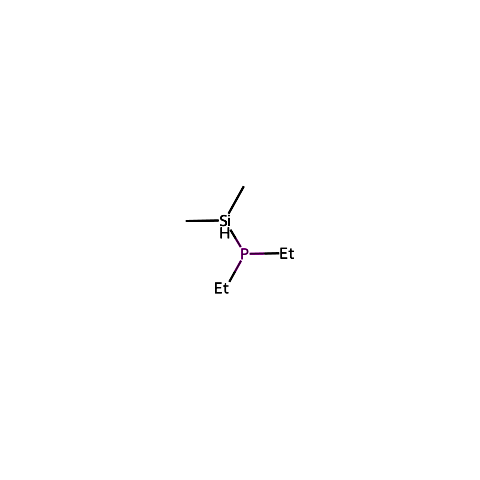 CCP(CC)[SiH](C)C